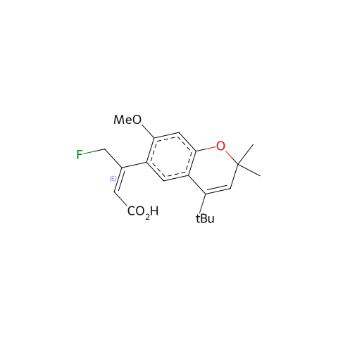 COc1cc2c(cc1/C(=C\C(=O)O)CF)C(C(C)(C)C)=CC(C)(C)O2